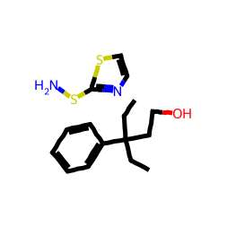 CCC(CC)(CCO)c1ccccc1.NSc1nccs1